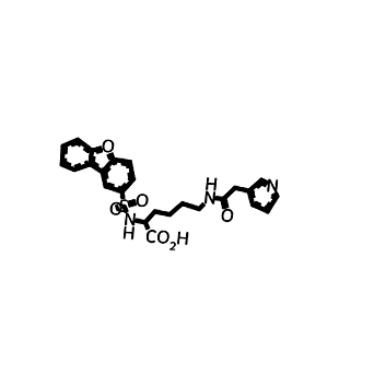 O=C(Cc1cccnc1)NCCCCC(NS(=O)(=O)c1ccc2oc3ccccc3c2c1)C(=O)O